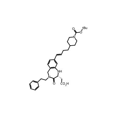 CC(C)(C)OC(=O)N1CCC(CCC=Cc2ccc3c(c2)N[C@H](CC(=O)O)C(=O)N(CCc2ccccc2)C3)CC1